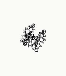 CC(=O)C1(O)CCC2C3CCC4=CC(=O)CCC4(C)C3(F)C(OBOC3CC4(C)C(CCC4(O)C(C)=O)C4CCC5=CC(=O)CCC5(C)C34F)CC21C